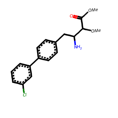 COC(=O)C(OC)C(N)Cc1ccc(-c2cccc(Cl)c2)cc1